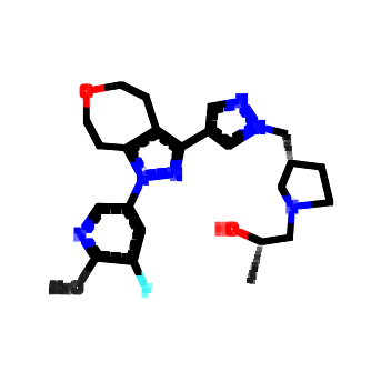 COc1ncc(-n2nc(-c3cnn(C[C@@H]4CCN(C[C@H](C)O)C4)c3)c3c2CCOCC3)cc1F